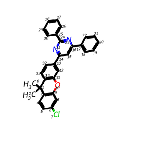 CC1(C)c2ccc(Cl)cc2Oc2cc(-c3cc(-c4ccccc4)nc(-c4ccccc4)n3)ccc21